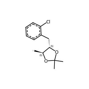 [CH2][C@@H]1OC(C)(C)O[C@H]1Cc1ccccc1Cl